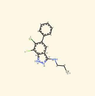 Fc1c(Cl)c(-c2ccccc2)cc2c(NCCC(F)(F)F)n[nH]c12